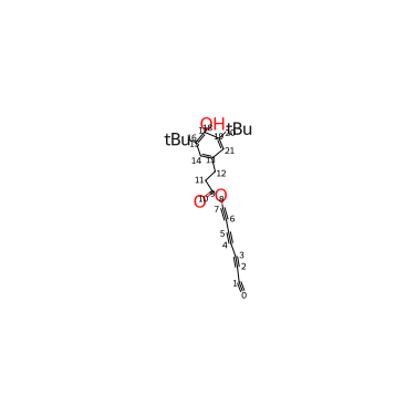 C#CC#CC#CC#COC(=O)CCc1cc(C(C)(C)C)c(O)c(C(C)(C)C)c1